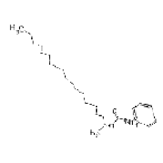 CCCCCCCCCCCCCCCCC(C)OC(=O)Nc1ccccc1